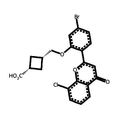 O=c1cc(-c2ccc(Br)cc2OC[C@H]2C[C@@H](C(=O)O)C2)oc2c(Cl)cccc12